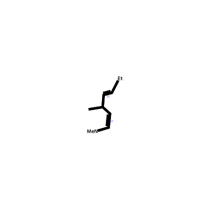 CC/C=C/C(C)/C=C\NC